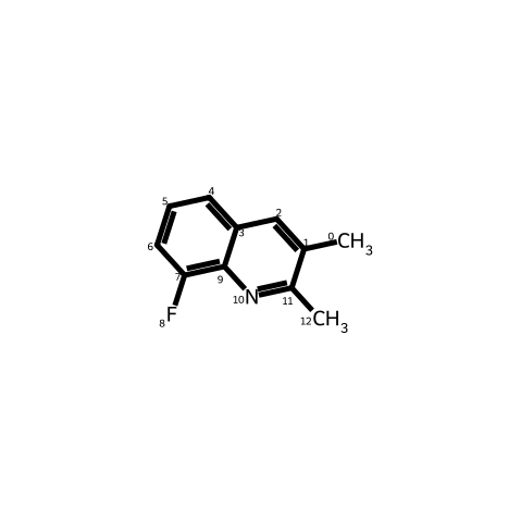 Cc1cc2cccc(F)c2nc1C